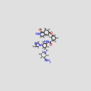 Cc1cn(-c2cc(CN3CCCC(N)C3)cc(NC(=O)c3cccc(Oc4ccc5c(=O)[nH]ccc5c4)c3)c2)cn1